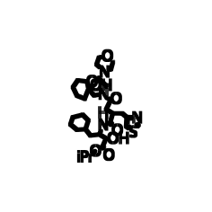 CC(C)OC(=O)C(O)C(CC1CCCCC1)NC(=O)C(CC(=O)N(CC(=O)N1CCOCC1)CC1(O)CCCCC1)Cc1cscn1